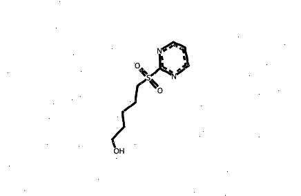 O=S(=O)(CCCCCO)c1ncccn1